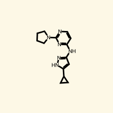 c1cc(Nc2cc(C3CC3)[nH]n2)nc(N2CCCC2)n1